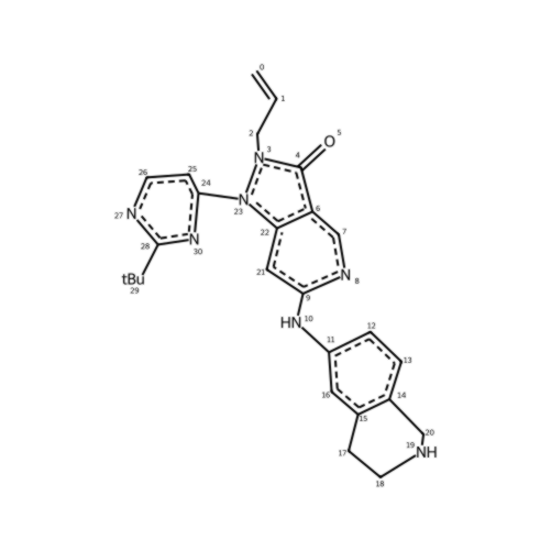 C=CCn1c(=O)c2cnc(Nc3ccc4c(c3)CCNC4)cc2n1-c1ccnc(C(C)(C)C)n1